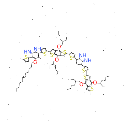 CCCCCCCCCCCCOC1=C(c2ccc(C)s2)C(=N)C(=N)C(c2ccc(-c3cc4c(OCC(CC)CCCC)c5sc(-c6ccc(C7=CC=C(c8ccc(-c9cc%10c(OCC(CC)CCCC)c%11sc(C)cc%11c(OCC(CC)CCCC)c%10s9)s8)C(=N)C7=N)s6)cc5c(OCC(CC)CCCC)c4s3)s2)=C1C